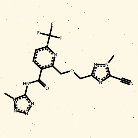 Cn1nc(COCc2nc(C(F)(F)F)ccc2C(=O)Nc2nnnn2C)nc1C#N